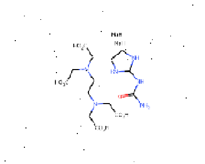 NC(=O)NC1NCCN1.O=C(O)CN(CCN(CC(=O)O)CC(=O)O)CC(=O)O.[NaH].[NaH]